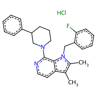 Cc1c(C)n(Cc2ccccc2F)c2c(N3CCCC(c4ccccc4)C3)nccc12.Cl